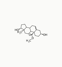 COC(=O)[C@]12CC[C@H](O)CC1=CCC1C2CC[C@@]2(C)C1CC[C@@H]2O